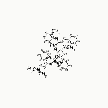 CC(=Nc1c(C)cccc1Cl)C(Cc1ccccc1)N(C)CCC(O[Si](OC(CCN(C)C)c1ccccc1)(C(C)C)C(C)C)c1ccccc1